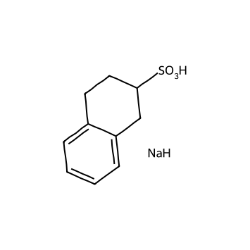 O=S(=O)(O)C1CCc2ccccc2C1.[NaH]